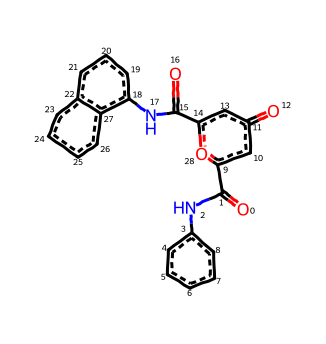 O=C(Nc1ccccc1)c1cc(=O)cc(C(=O)Nc2cccc3ccccc23)o1